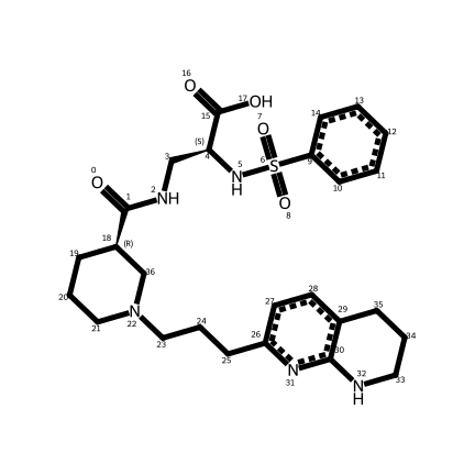 O=C(NC[C@H](NS(=O)(=O)c1ccccc1)C(=O)O)[C@@H]1CCCN(CCCc2ccc3c(n2)NCCC3)C1